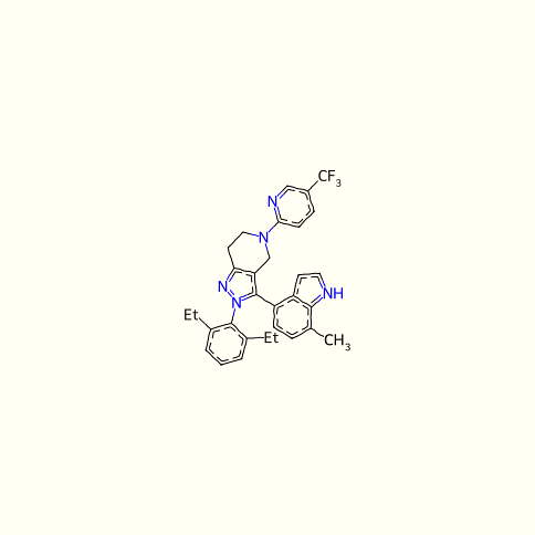 CCc1cccc(CC)c1-n1nc2c(c1-c1ccc(C)c3[nH]ccc13)CN(c1ccc(C(F)(F)F)cn1)CC2